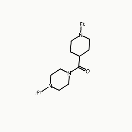 CCN1CCC(C(=O)N2CCN(C(C)C)CC2)CC1